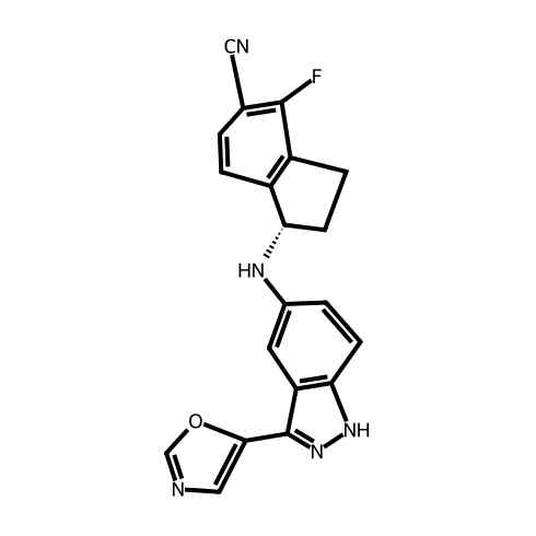 N#Cc1ccc2c(c1F)CC[C@@H]2Nc1ccc2[nH]nc(-c3cnco3)c2c1